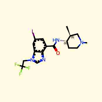 C[C@H]1CN(C)CC[C@@H]1NC(=O)c1cc(I)cc2c1ncn2CC(F)(F)F